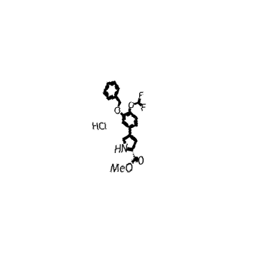 COC(=O)[C@H]1C=C(c2ccc(OC(F)F)c(OCc3ccccc3)c2)CN1.Cl